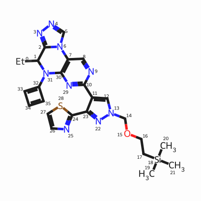 CCC1c2nncn2-c2cnc(-c3cn(COCC[Si](C)(C)C)nc3-c3nccs3)nc2N1C1=CC=C1